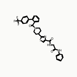 O=C(CNC(=O)c1csc(C2CCN(C(=O)c3ccccc3-c3ccc(C(F)(F)F)cc3)CC2)n1)Nc1ccccc1